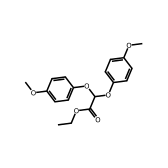 CCOC(=O)C(Oc1ccc(OC)cc1)Oc1ccc(OC)cc1